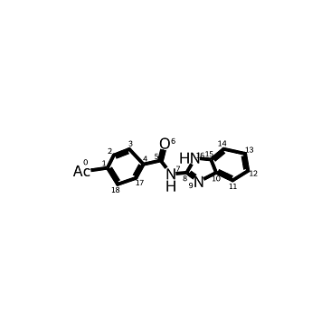 CC(=O)c1ccc(C(=O)Nc2nc3ccccc3[nH]2)cc1